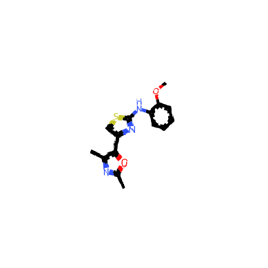 COc1ccccc1Nc1nc(-c2oc(C)nc2C)cs1